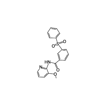 COc1cccnc1NC(=O)c1cccc(S(=O)(=O)c2ccccc2)c1